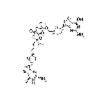 C[n+]1cn([C@H]2CC[C@@H](COP(=O)(O)OP(=O)(O)OP(=O)(O)CCC[C@@H]3CC[C@H](n4cnc5c(=O)[nH]c(N)nc54)O3)O2)c2nc(N)nc(O)c21